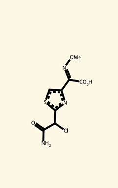 CON=C(C(=O)O)c1csc(C(Cl)C(N)=O)n1